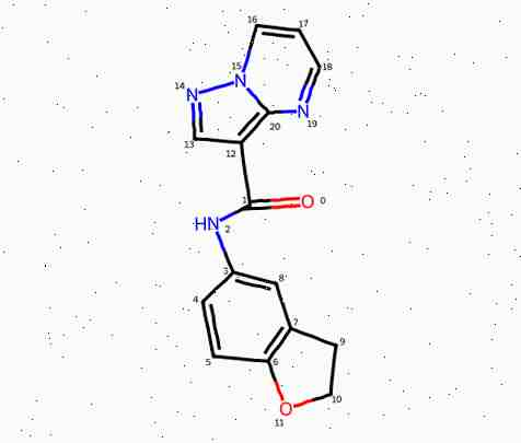 O=C(Nc1ccc2c(c1)CCO2)c1cnn2cccnc12